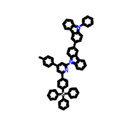 Cc1ccc(-c2cc(-c3ccc([Si](c4ccccc4)(c4ccccc4)c4ccccc4)cc3)nc(-n3c4ccccc4c4cc(-c5ccc6c(c5)c5ccccc5n6-c5ccccc5)ccc43)c2)cc1